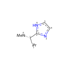 CN[C@H](c1ncc[nH]1)C(C)C